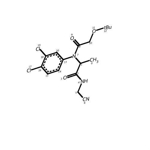 CC(C(=O)NCC#N)N(C(=O)COC(C)(C)C)c1ccc(Cl)c(Cl)c1